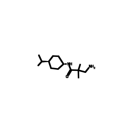 CC(C)[C@H]1CC[C@H](NC(=O)C(C)(C)CN)CC1